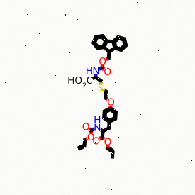 C=CCOC(=O)NC(Cc1ccc(OCCSCC(NC(=O)OCC2c3ccccc3-c3ccccc32)C(=O)O)cc1)C(=O)OC=CC